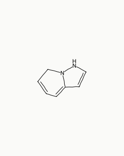 C1=CCN2NC=CC2=C1